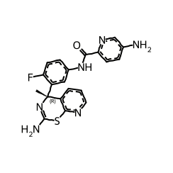 C[C@]1(c2cc(NC(=O)c3ccc(N)cn3)ccc2F)N=C(N)Sc2ncccc21